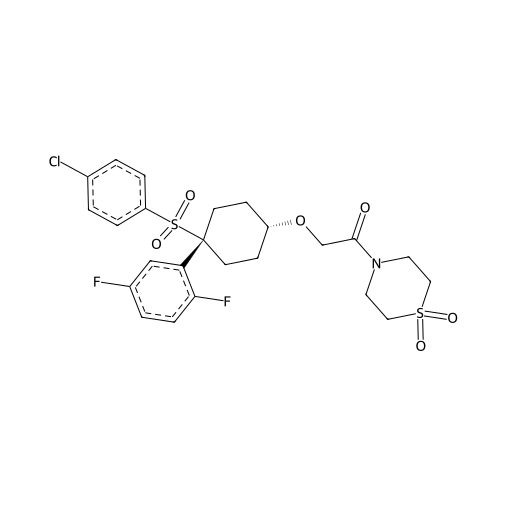 O=C(CO[C@H]1CC[C@@](c2cc(F)ccc2F)(S(=O)(=O)c2ccc(Cl)cc2)CC1)N1CCS(=O)(=O)CC1